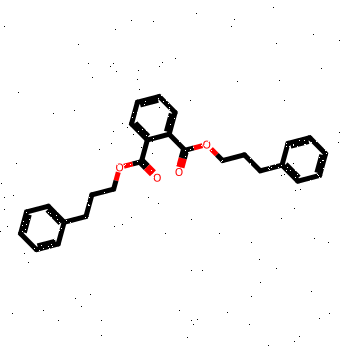 O=C(OCCCc1ccccc1)c1ccccc1C(=O)OCCCc1ccccc1